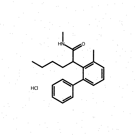 CCCCC(C(=O)NC)c1c(C)cccc1-c1ccccc1.Cl